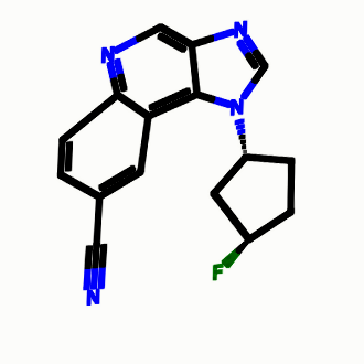 N#Cc1ccc2ncc3ncn([C@@H]4CC[C@@H](F)C4)c3c2c1